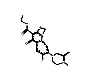 CCOC(=O)c1c2n(c3cc(N4CCN(C)C(C)C4)c(F)cc3c1=O)CS2